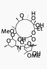 C#CCCN(C)[C@H]1C[C@@H](C)O[C@@H](O[C@@H]2[C@@H](C)[C@H](O[C@H]3C[C@@](C)(OC)[C@@H](O)[C@H](C)O3)[C@@H](C)C(=O)O[C@H](CC)[C@@](C)(O)[C@H](O)[C@@H](C)C(=O)[C@H](C)C[C@@]2(C)OC)[C@@H]1O